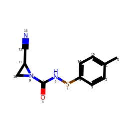 Cc1ccc(SNC(=O)N2CC2C#N)cc1